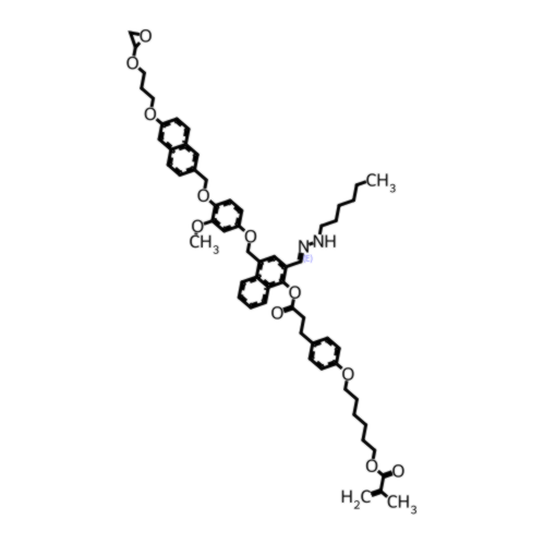 C=C(C)C(=O)OCCCCCCOc1ccc(CCC(=O)Oc2c(/C=N/NCCCCCC)cc(COc3ccc(OCc4ccc5cc(OCCCOC6CO6)ccc5c4)c(OC)c3)c3ccccc23)cc1